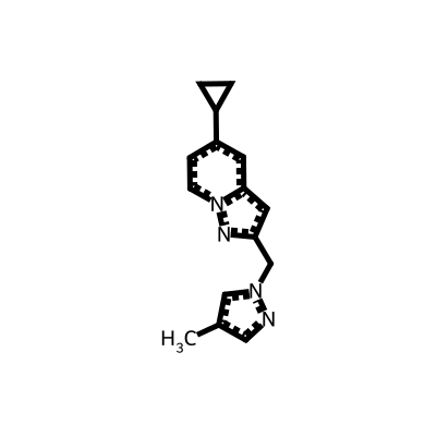 Cc1cnn(Cc2cc3cc(C4CC4)ccn3n2)c1